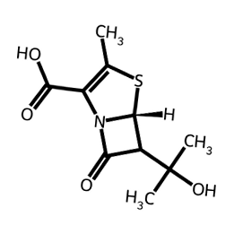 CC1=C(C(=O)O)N2C(=O)C(C(C)(C)O)[C@H]2S1